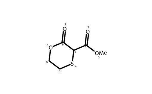 COC(=O)C1SCCOC1=O